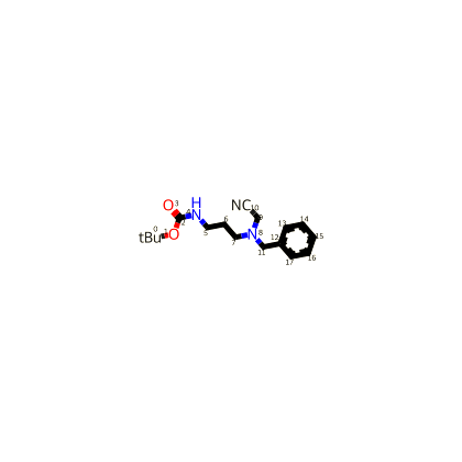 CC(C)(C)OC(=O)NCCCN(CC#N)Cc1ccccc1